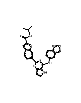 CC(C)NC(=O)c1cc2ccc(-c3nc(Nc4ccc5[nH]ncc5c4)c4[nH]ccc4n3)cc2[nH]1